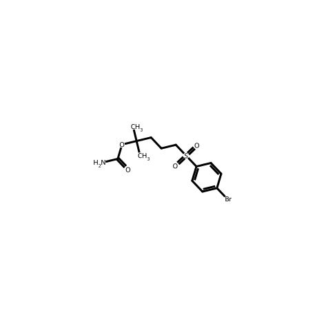 CC(C)(CCCS(=O)(=O)c1ccc(Br)cc1)OC(N)=O